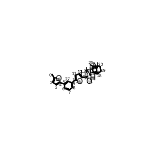 Cc1ccc(-c2cccc(-c3ccc(C(=O)N[C@@H]4C5CCN(CC5)[C@H]4C)o3)c2)o1